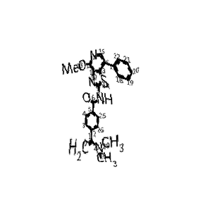 C=C(c1ccc(C(=O)Nc2nc3c(OC)ncc(-c4ccccc4)c3s2)cc1)N(C)C